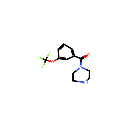 O=C(c1cccc(OC(F)(F)F)c1)N1CCNCC1